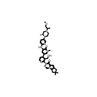 COCC(C)N1CCN(c2ccc(Nc3cc(-c4ccnc(-n5ncn6c7c(cc6c5=O)CC(C)(C)C7)c4CO)cn(C)c3=O)nc2)[C@@H](C)C1